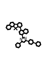 CC1(C)c2c(cccc2-c2ccc(-c3nc(-c4ccccc4)cc(-c4ccc(-c5ccccc5)cc4)n3)c3ccccc23)-c2ccc3ccccc3c21